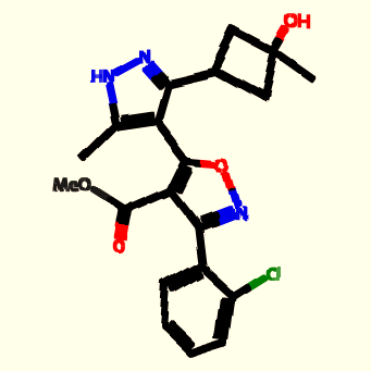 COC(=O)c1c(-c2ccccc2Cl)noc1-c1c(C2CC(C)(O)C2)n[nH]c1C